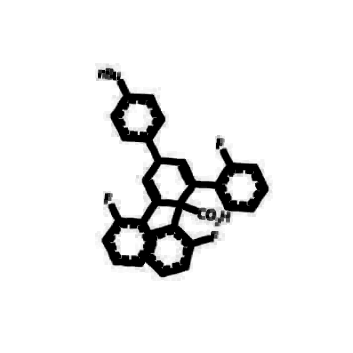 CCCCc1ccc(C2C=C(c3ccccc3F)C(C(=O)O)(c3ccccc3F)C(c3ccccc3F)=C2)cc1